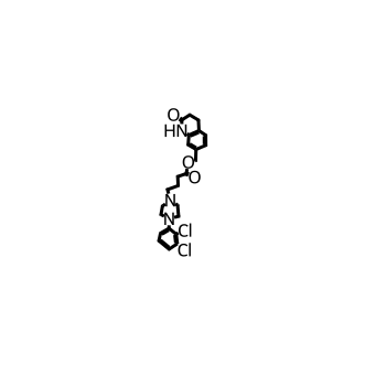 O=C1CCc2ccc(COC(=O)CCCN3CCN(c4cccc(Cl)c4Cl)CC3)cc2N1